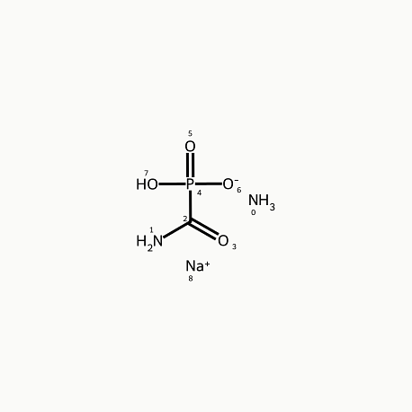 N.NC(=O)P(=O)([O-])O.[Na+]